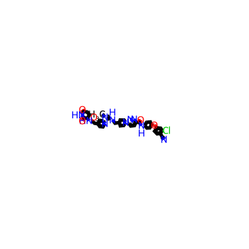 CN(CCNCC1CCN(c2ccc(C(=O)NC3CCC(Oc4ccc(C#N)c(Cl)c4)CC3)nn2)CC1)c1cc(CC(=O)NC2CCC(=O)NC2=O)ccn1